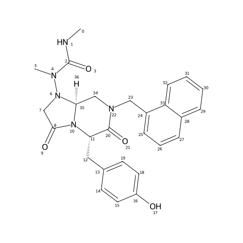 CNC(=O)N(C)N1CC(=O)N2[C@@H](Cc3ccc(O)cc3)C(=O)N(Cc3cccc4ccccc34)C[C@@H]21